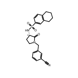 N#Cc1cccc(CN2CC[C@H](NS(=O)(=O)c3ccc4c(c3)CCCC4)C2=O)c1